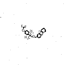 CC(C)(COCc1ccc(F)c(Oc2ccccc2)c1)c1ccc(OC(F)F)cc1